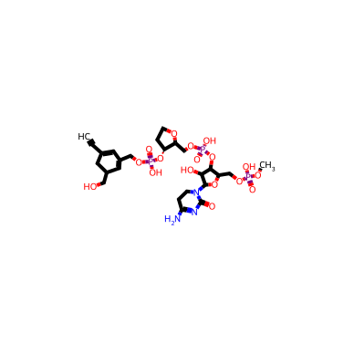 C#CC1=CC(COP(=O)(O)O[C@@H]2CCOC2COP(=O)(O)OC2C(COP(=O)(O)OC)OC(N3CCC(N)=NC3=O)C2O)=CC(CO)C1